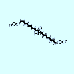 CCCCCCCC/C=C\CCCCCCCC(=O)NCCCCCCCCCCCCCCCCCC